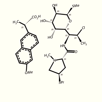 CCC[C@@H]1C[C@@H](C(=O)N[C@@H]([C@H]2O[C@H](SC)[C@H](O)[C@@H](O)[C@H]2O)[C@H](C)Cl)N(C)C1.COc1ccc2cc([C@H](C)C(=O)O)ccc2c1